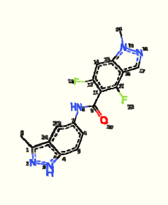 Cc1n[nH]c2ccc(NC(=O)c3c(F)cc4c(cnn4C)c3F)cc12